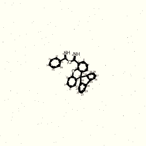 N=C(OC(=N)c1cccc2c1Oc1ccccc1C21c2ccccc2-c2ccccc21)c1ccccc1